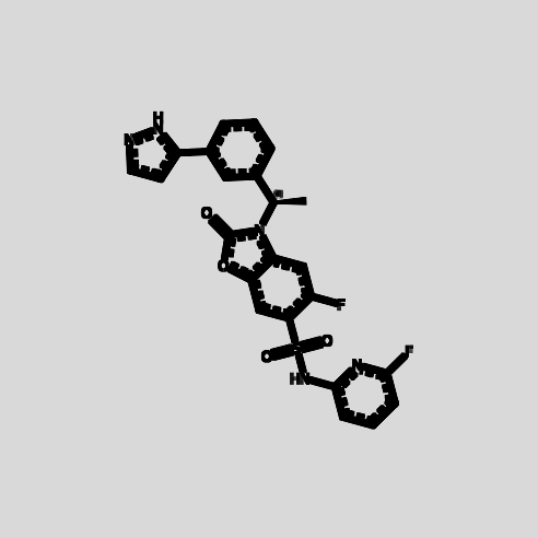 C[C@H](c1cccc(-c2ccn[nH]2)c1)n1c(=O)oc2cc(S(=O)(=O)Nc3cccc(F)n3)c(F)cc21